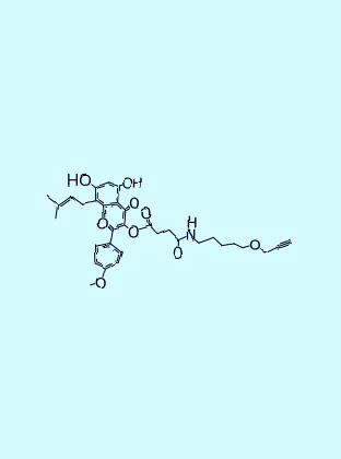 C#CCOCCCCCNC(=O)CCC(=O)Oc1c(-c2ccc(OC)cc2)oc2c(CC=C(C)C)c(O)cc(O)c2c1=O